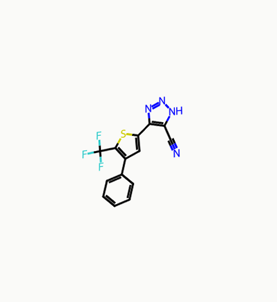 N#Cc1[nH]nnc1-c1cc(-c2ccccc2)c(C(F)(F)F)s1